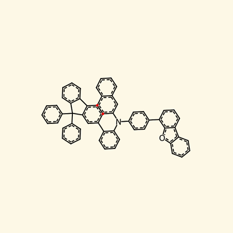 c1ccc(C2(c3ccccc3)c3ccccc3-c3ccc(-c4ccccc4N(c4ccc(-c5cccc6c5oc5ccccc56)cc4)c4ccc5ccccc5c4)cc32)cc1